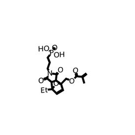 C=C(C)C(=O)OCC12C=CC(CC)(O1)C1C(=O)N(CCCP(=O)(O)O)C(=O)C12